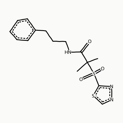 CC(C)(C(=O)NCCCc1ccccc1)S(=O)(=O)c1nncs1